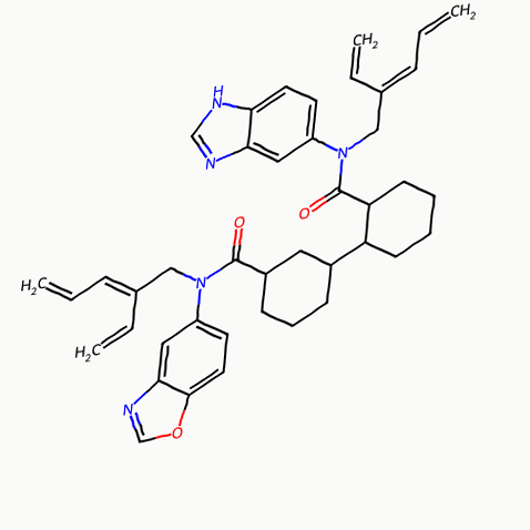 C=C/C=C(\C=C)CN(C(=O)C1CCCC(C2CCCCC2C(=O)N(C/C(C=C)=C/C=C)c2ccc3[nH]cnc3c2)C1)c1ccc2ocnc2c1